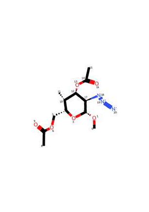 CO[C@@H]1O[C@H](COC(C)=O)[C@H](C)[C@H](OC(C)=O)[C@H]1N=[N+]=[N-]